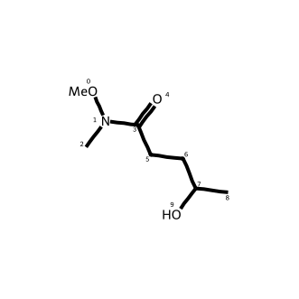 CON(C)C(=O)CCC(C)O